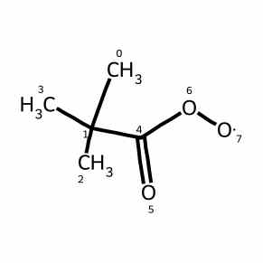 CC(C)(C)C(=O)O[O]